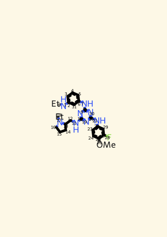 CCNc1cccc(Nc2nc(NCC3CCCN3CC)nc(Nc3ccc(OC)c(F)c3)n2)c1